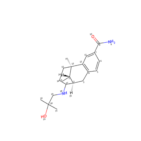 C[C@H]1[C@H]2Cc3ccc(C(N)=O)cc3[C@]1(C)CCC2NCC(C)(C)O